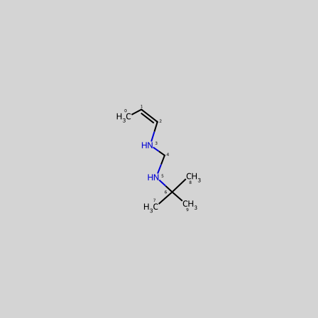 C/C=C\NCNC(C)(C)C